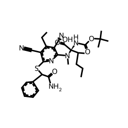 CCCC(C)[C@@](NC(=O)OC(C)(C)C)(C(=O)O)N(C)c1nc(SC(C(N)=O)c2ccccc2)c(C#N)c(CC)c1C#N